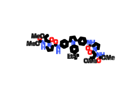 CC[Si](C)(C)c1ccc(N2[C@H](c3ccc(NC(=O)[C@@H]4CCCN4C(=O)[C@@H](NC(=O)OC)[C@@H](C)OC)cc3)CC[C@H]2c2ccc(NC(=O)[C@@H]3CCCN3C(=O)[C@@H](NC(=O)OC)[C@@H](C)OC)cc2)cc1